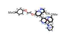 COc1ccc(CN2C3CC2CN(c2ccc(-c4cc(OCCOC5CCC(OC)CC5)cn5ncc(C#N)c45)cn2)C3)cn1